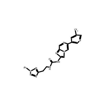 CC(C)n1nnc(CCNC(=O)Nc2cn3cc(-c4cncc(C(F)(F)F)c4)ncc3n2)n1